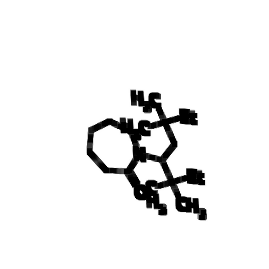 CCC(C)(C)CC(N1CCCCCC1=O)C(C)(C)CC